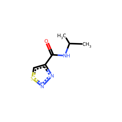 CC(C)NC(=O)c1csnn1